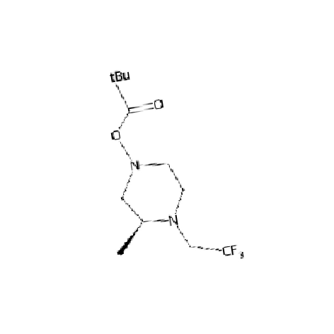 C[C@H]1CN(OC(=O)C(C)(C)C)CCN1CC(F)(F)F